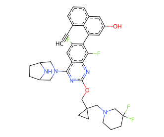 C#Cc1cccc2cc(O)cc(-c3c(F)cc4c(N5CC6CCC(C5)N6)nc(OCC5(CN6CCCC(F)(F)C6)CC5)nc4c3F)c12